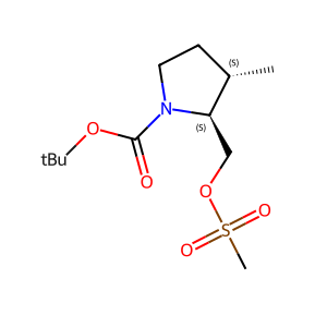 C[C@H]1CCN(C(=O)OC(C)(C)C)[C@@H]1COS(C)(=O)=O